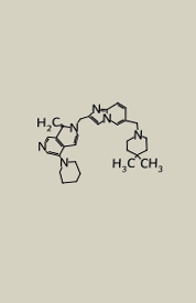 C=C1c2cncc(N3CCCCC3)c2C=CN1Cc1cn2cc(CN3CCC(C)(C)CC3)ccc2n1